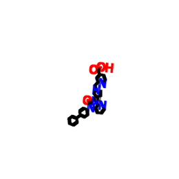 O=C(O)c1ccnc(CN2CC[C@H](n3c(=O)n(-c4ccc(-c5ccccc5)cc4)c4cccnc43)C2)c1